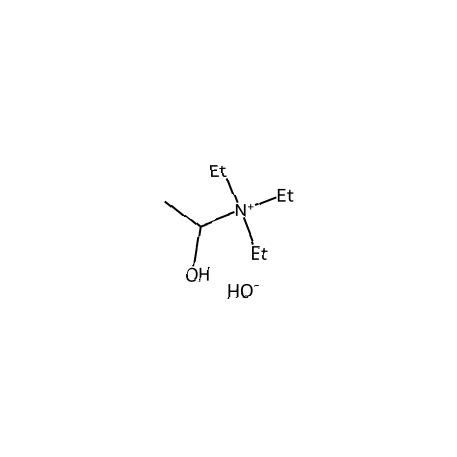 CC[N+](CC)(CC)C(C)O.[OH-]